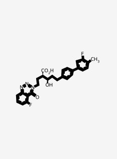 Cc1ccc(-c2ccc(CC[C@@H](O)[C@H](CCn3nnc4cccc(F)c4c3=O)C(=O)O)cc2)cc1F